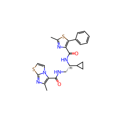 Cc1nc(C(=O)N[C@@H](CNC(=O)c2c(C)nc3sccn23)C2CC2)c(-c2ccccc2)s1